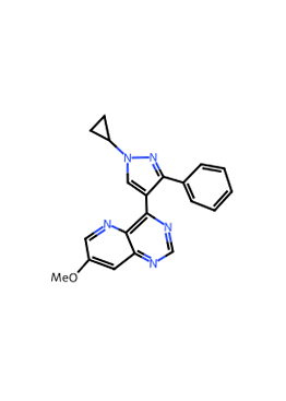 COc1cnc2c(-c3cn(C4CC4)nc3-c3ccccc3)ncnc2c1